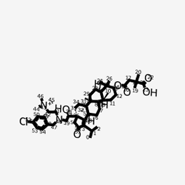 CC(C)C1=C2[C@H]3CC[C@@H]4[C@@]5(C)CC[C@H](OC(=O)CC(C)(C)C(=O)O)C(C)(C)[C@@H]5CC[C@@]4(C)[C@]3(C)CC[C@@]2([C@H](O)CN(CC[N+](C)(C)C)Cc2ccc(Cl)cc2)CC1=O